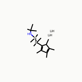 CC1=C(C)C(C)C([Si](C)(C)[Si](C)(C)NC(C)(C)C)=C1C.[LiH].[LiH]